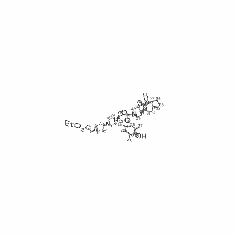 CCOC(=O)CN1CCC(N2CCN(C(=O)C(Cc3cc(C)c(O)c(C)c3)OC(=O)N3CCC(N4CCc5ccccc5NC4=O)CC3)CC2)CC1